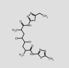 CCc1nnc(NC(=O)C(C)CC(Cl)C(Cl)CC(C)C(=O)Nc2nnc(C)s2)s1